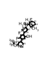 [2H]C([2H])([2H])Oc1cc(-c2cc(O)c(-c3ccc(N(C)C4C[C@]5(C)CC[C@](C)(C4)N5)nn3)c(F)c2F)cnn1